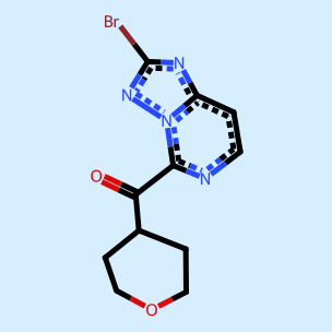 O=C(c1nccc2nc(Br)nn12)C1CCOCC1